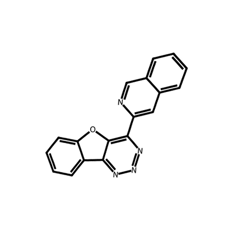 c1ccc2cc(-c3nnnc4c3oc3ccccc34)ncc2c1